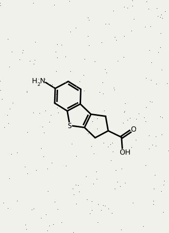 Nc1ccc2c3c(sc2c1)CC(C(=O)O)C3